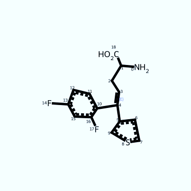 NC(C/C=C(/c1ccsc1)c1ccc(F)cc1F)C(=O)O